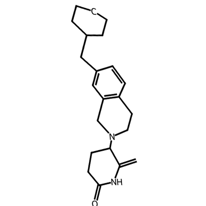 C=C1NC(=O)CCC1N1CCc2ccc(CC3CCCCC3)cc2C1